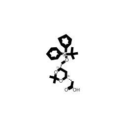 CC1(C)O[C@H](CO[Si](c2ccccc2)(c2ccccc2)C(C)(C)C)C[C@H](CC(=O)O)O1